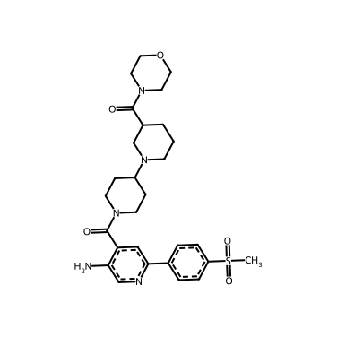 CS(=O)(=O)c1ccc(-c2cc(C(=O)N3CCC(N4CCCC(C(=O)N5CCOCC5)C4)CC3)c(N)cn2)cc1